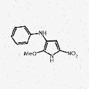 COc1[nH]c([N+](=O)[O-])cc1Nc1ccccc1